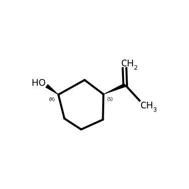 C=C(C)[C@H]1CCC[C@@H](O)C1